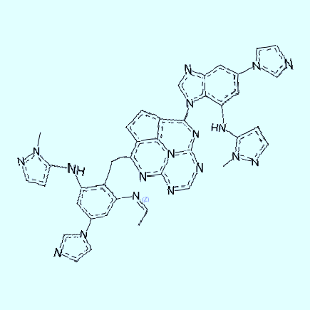 C/C=N\c1cc(-n2ccnc2)cc(Nc2ccnn2C)c1Cc1nc2ncnc3nc(-n4cnc5cc(-n6ccnc6)cc(Nc6ccnn6C)c54)c4ccc1c4n23